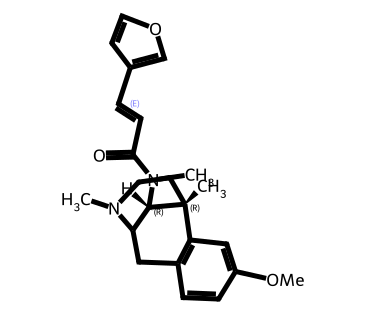 COc1ccc2c(c1)[C@@]1(C)CCN(C)C(C2)[C@@H]1N(C)C(=O)/C=C/c1ccoc1